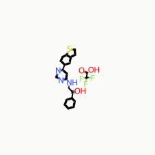 O=C(O)C(F)(F)F.O[C@@H](CNc1cc(-c2ccc3sccc3c2)ncn1)c1ccccc1